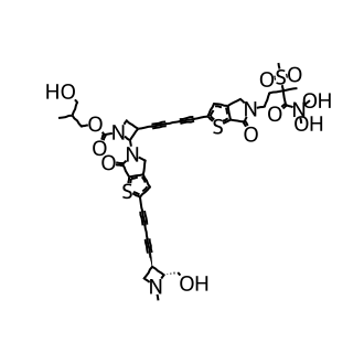 CC(CO)COC(=O)N1CC(C#CC#Cc2cc3c(s2)C(=O)N(CCC(C)(C(=O)N(O)O)S(C)(=O)=O)C3)C1N1Cc2cc(C#CC#C[C@@H]3CN(C)[C@H]3CO)sc2C1=O